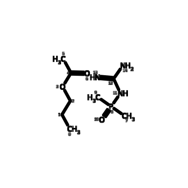 CCCOC(C)=O.CP(C)(=O)NC(=N)N